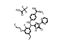 CCc1cc(OCCF)c(F)c(C(Nc2ccc(C(=N)N)cc2)c2nn(-c3ncccn3)c(=O)[nH]2)c1.O=C(O)C(F)(F)F